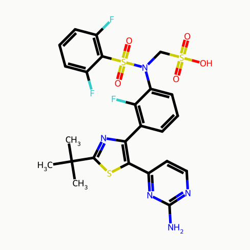 CC(C)(C)c1nc(-c2cccc(N(CS(=O)(=O)O)S(=O)(=O)c3c(F)cccc3F)c2F)c(-c2ccnc(N)n2)s1